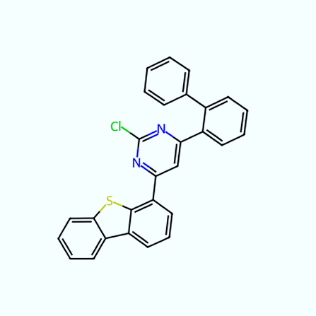 Clc1nc(-c2ccccc2-c2ccccc2)cc(-c2cccc3c2sc2ccccc23)n1